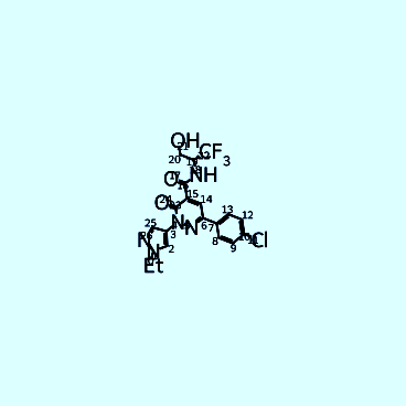 CCn1cc(-n2nc(-c3ccc(Cl)cc3)cc(C(=O)N[C@@H](CO)C(F)(F)F)c2=O)cn1